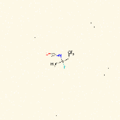 CC(F)(CC(F)(F)F)N=C=O